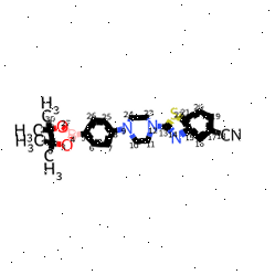 CC1(C)OB(c2ccc(N3CCN(c4nc5cc(C#N)ccc5s4)CC3)cc2)OC1(C)C